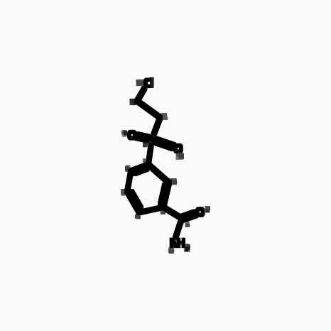 NC(=O)c1cccc(S(=O)(=O)CCCl)c1